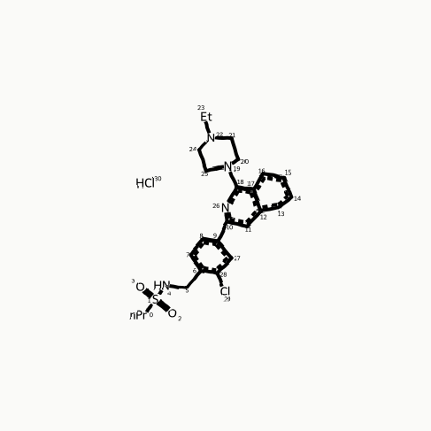 CCCS(=O)(=O)NCc1ccc(-c2cc3ccccc3c(N3CCN(CC)CC3)n2)cc1Cl.Cl